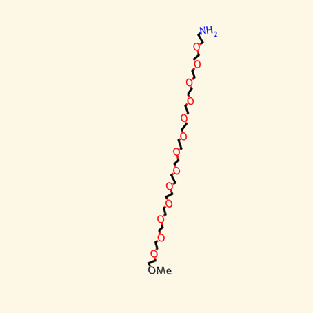 COCCOCCOCCOCCOCCOCCOCCOCCOCCOCCOCCOCCOCCOCCN